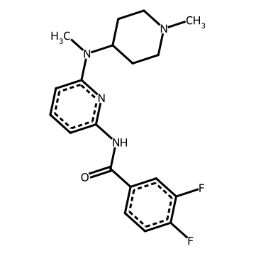 CN1CCC(N(C)c2cccc(NC(=O)c3ccc(F)c(F)c3)n2)CC1